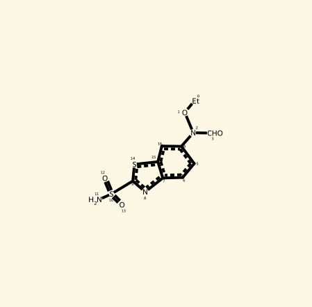 CCON(C=O)c1ccc2nc(S(N)(=O)=O)sc2c1